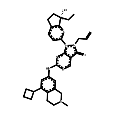 C=CCn1c(=O)c2cnc(Nc3cc4c(c(C5CCC5)c3)CCN(C)C4)nc2n1-c1ccc2c(n1)[C@](O)(CC)CC2